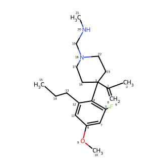 C=C(C)C1(c2c(F)cc(OC)cc2CCC)CCN(CNC)CC1